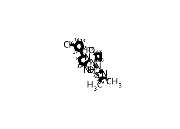 Cc1nc(NC(=O)N(c2nc(-c3cccc(Cl)c3)ccc2N)C2CC[C@H]2O)sc1C